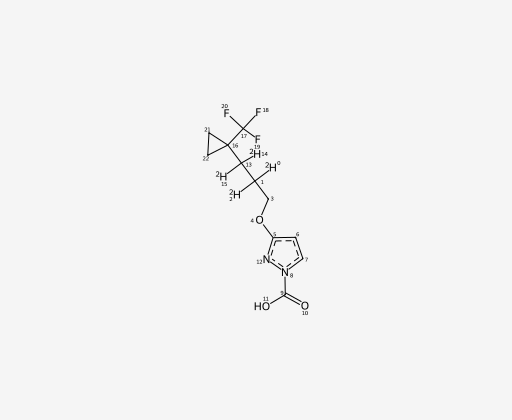 [2H]C([2H])(COc1ccn(C(=O)O)n1)C([2H])([2H])C1(C(F)(F)F)CC1